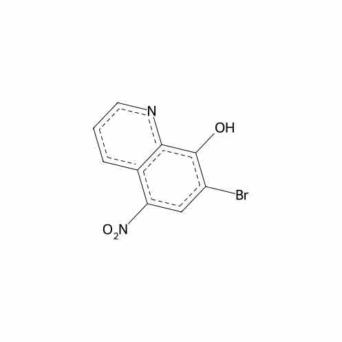 O=[N+]([O-])c1cc(Br)c(O)c2ncccc12